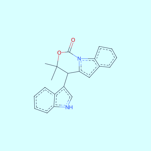 CC1(C)OC(=O)n2c(cc3ccccc32)C1c1c[nH]c2ccccc12